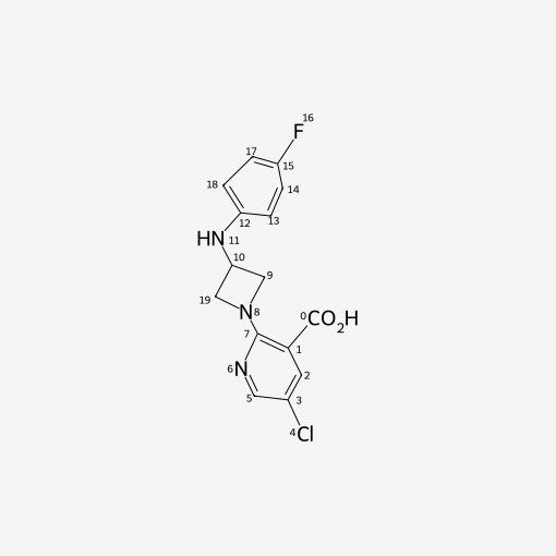 O=C(O)c1cc(Cl)cnc1N1CC(Nc2ccc(F)cc2)C1